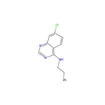 CC(C)CCNc1ncnc2cc(Cl)ccc12